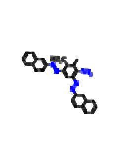 Cc1c(N)c(N=Nc2ccc3ccccc3c2)cc(N=Nc2ccc3ccccc3c2)c1C(=O)O